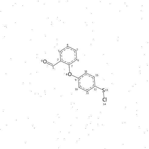 O=Cc1ccccc1Oc1ccc(SCl)cc1